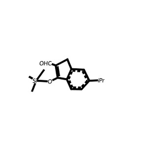 CC(C)c1ccc2c(c1)CC(C=O)=C2O[Si](C)(C)C